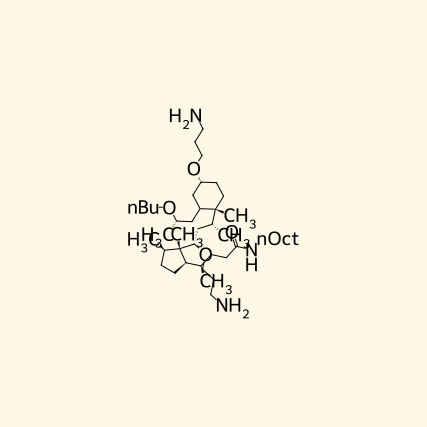 CCCCCCCCNC(=O)CC[C@@H](C)[C@H]1CC[C@@H](C)[C@]1(C)[C@H](C[C@@H](C)[C@@]1(C)CC[C@@H](OCCCN)CC1C[C@H](C)OCCCC)OCCCN